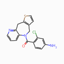 Nc1ccc(C(=O)N2Cc3ccsc3Cc3ncccc32)c(Cl)c1